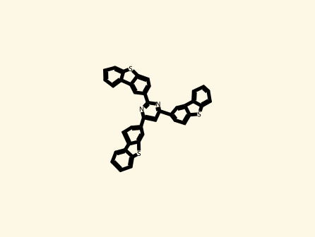 c1ccc2c(c1)sc1cc(-c3cc(-c4ccc5sc6ccccc6c5c4)nc(-c4ccc5sc6ccccc6c5c4)n3)ccc12